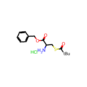 CC(C)(C)C(=O)SCC(N)C(=O)OCc1ccccc1.Cl